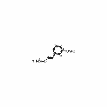 CCCCCCO/N=[C]/c1cccc(OC)c1